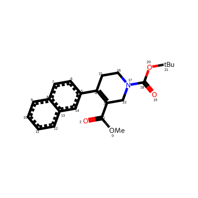 COC(=O)C1=C(c2ccc3ccccc3c2)CCN(C(=O)OC(C)(C)C)C1